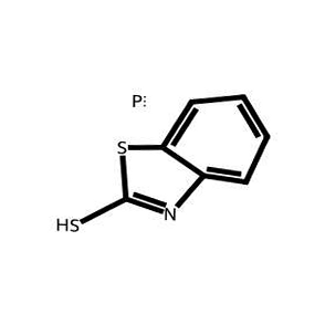 Sc1nc2ccccc2s1.[P]